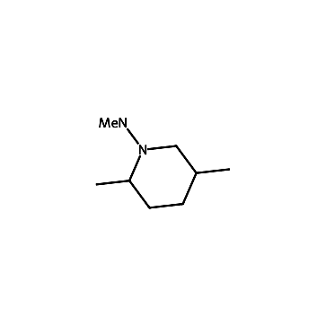 CNN1CC(C)CCC1C